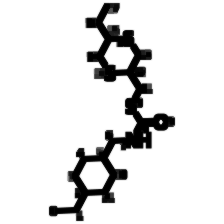 CCC1CCC(CNC(=O)SCC2CSC(CC)CS2)CC1